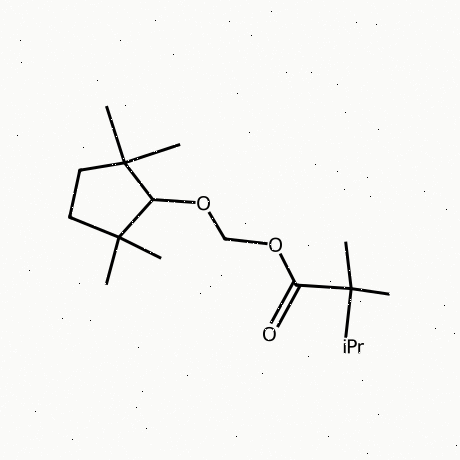 CC(C)C(C)(C)C(=O)OCOC1C(C)(C)CCC1(C)C